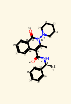 CC[C@H](NC(=O)c1c(C)n(N2CCCCC2)c(=O)c2ccccc12)c1ccccc1